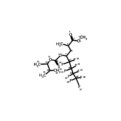 COC(=O)C(C)CC(SC(=S)OC(C)C(C)C)C(F)(F)C(F)(F)C(F)(F)C(F)(F)F